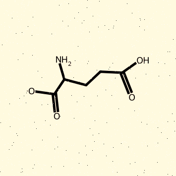 NC(CCC(=O)O)C([O])=O